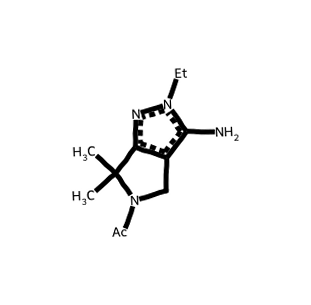 CCn1nc2c(c1N)CN(C(C)=O)C2(C)C